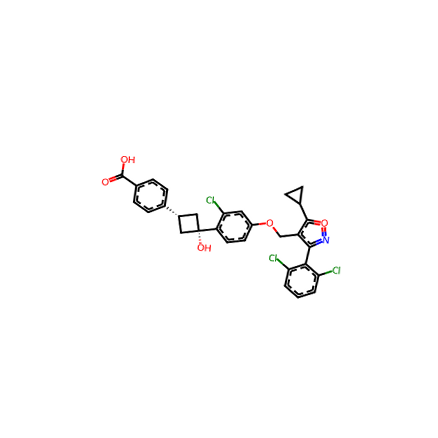 O=C(O)c1ccc([C@H]2C[C@](O)(c3ccc(OCc4c(-c5c(Cl)cccc5Cl)noc4C4CC4)cc3Cl)C2)cc1